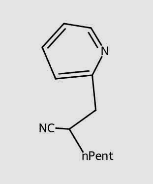 CCCCCC(C#N)Cc1ccccn1